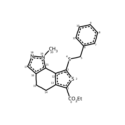 CCOC(=O)c1sc(SCc2ccccc2)c2c1CCc1cnn(C)c1-2